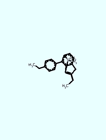 CCC1=C2c3c(ccc(c3-c3ccc(CC)cc3)[Si]2(C)C)[CH]1